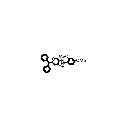 COc1ccc(CN[C@@H]2CO[C@H](C(c3ccccc3)c3ccccc3)C[C@H]2O)c(OC)c1